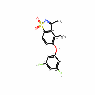 CC1=NS(=O)(=O)c2ccc(Oc3cc(F)cc(F)c3)c(C)c21